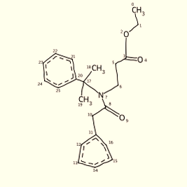 CCOC(=O)CCN(C(=O)Cc1ccccc1)C(C)(C)c1ccccc1